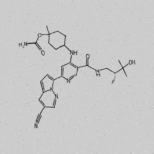 CC1(OC(N)=O)CCC(Nc2cc(-c3ccc4cc(C#N)cnn34)ncc2C(=O)NC[C@@H](F)C(C)(C)O)CC1